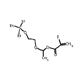 C=C(F)C(=O)OC(C)OCCO[Si](CC)(CC)CC